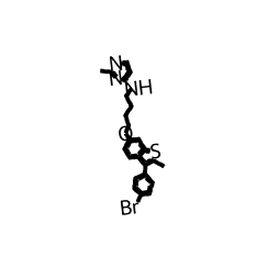 Cc1nccc(NCCCCOc2ccc3c(-c4ccc(Br)cc4)c(C)sc3c2)n1